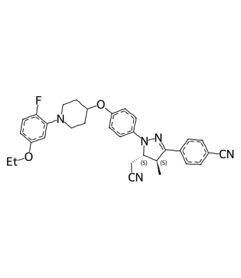 CCOc1ccc(F)c(N2CCC(Oc3ccc(N4N=C(c5ccc(C#N)cc5)[C@@H](C)[C@@H]4CC#N)cc3)CC2)c1